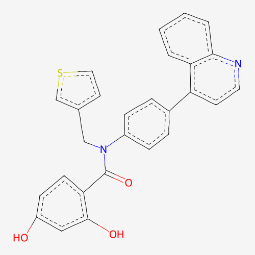 O=C(c1ccc(O)cc1O)N(Cc1ccsc1)c1ccc(-c2ccnc3ccccc23)cc1